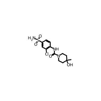 CC1(O)CCN(C(=O)Nc2ccc(S(N)(=O)=O)cc2Cl)CC1